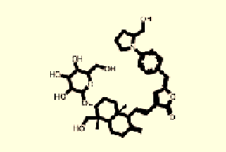 C=C1CCC2[C@](C)(CC[C@@H](OC3OC(CO)C(O)C(O)C3O)[C@@]2(C)CO)C1/C=C/C1=CC(=C\c2ccc(N3CCCC3CO)cc2)/OC1=O